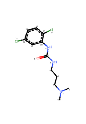 CN(C)CCCNC(=O)Nc1cc(Cl)ccc1Cl